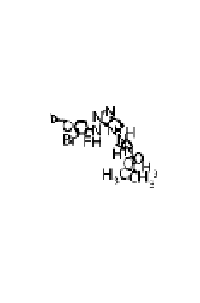 CC(C)(C)OC(=O)N1C[C@@H]2C[C@H]1CN2c1ccc2ncnc(Nc3ccc(OCC4CC4)c(Br)c3F)c2n1